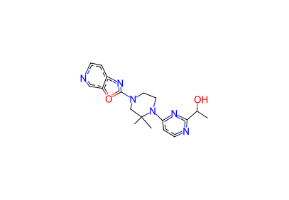 CC(O)c1nccc(N2CCN(c3nc4ccncc4o3)CC2(C)C)n1